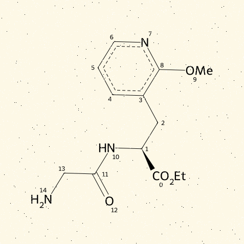 CCOC(=O)[C@H](Cc1cccnc1OC)NC(=O)CN